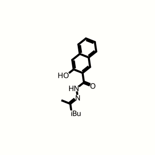 CCC(C)C(C)=NNC(=O)c1cc2ccccc2cc1O